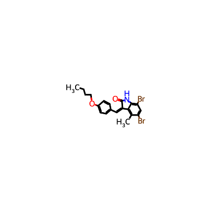 CCCCOc1ccc(C=C2C(=O)Nc3c(Br)cc(Br)c(C)c32)cc1